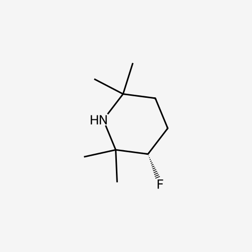 CC1(C)CC[C@H](F)C(C)(C)N1